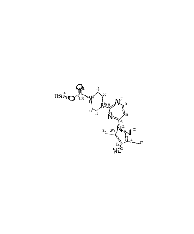 Cc1nn(-c2ccnc(N3CCN(C(=O)OC(C)(C)C)CC3)n2)c(C)c1C#N